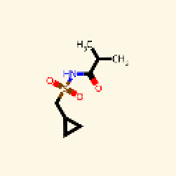 CC(C)C(=O)NS(=O)(=O)CC1CC1